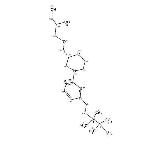 CC(C)(C)[Si](C)(C)OCc1ccnc(N2CCO[C@@H](COCC(O)CO)C2)n1